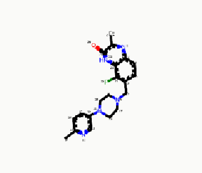 CCc1nc2ccc(CN3CCN(c4ccc(C)nc4)CC3)c(F)c2[nH]c1=O